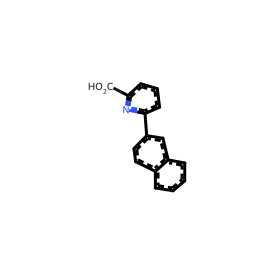 O=C(O)c1cccc(-c2ccc3ccccc3c2)n1